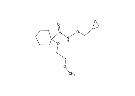 COCCOC1(C(=O)NOCC2CC2)CCCCC1